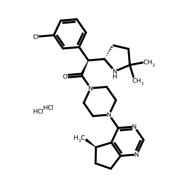 C[C@@H]1CCc2ncnc(N3CCN(C(=O)[C@@H](c4cccc(Cl)c4)[C@@H]4CCC(C)(C)N4)CC3)c21.Cl.Cl